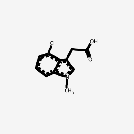 Cn1cc(CC(=O)O)c2c(Cl)cccc21